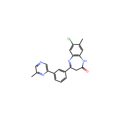 Cc1cncc(-c2cccc(C3=Nc4cc(Cl)c(C)cc4NC(=O)C3)c2)n1